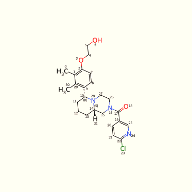 Cc1c(OCCO)ccc([C@H]2CCC[C@H]3CN(C(=O)c4ccc(Cl)nc4)CCN32)c1C